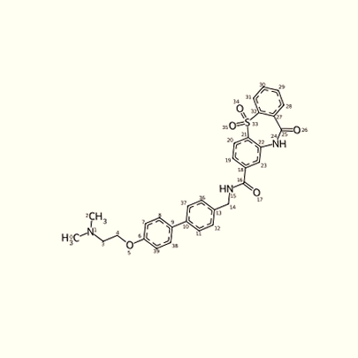 CN(C)CCOc1ccc(-c2ccc(CNC(=O)c3ccc4c(c3)NC(=O)c3ccccc3S4(=O)=O)cc2)cc1